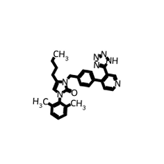 CCCCc1cn(-c2c(C)cccc2C)c(=O)n1Cc1ccc(-c2ccncc2-c2nnn[nH]2)cc1